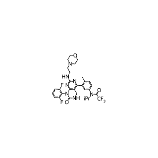 Cc1ccc(N(C(=O)C(F)(F)F)C(C)C)cc1-c1nc(NCCN2CCOCC2)nc2c1CNC(=O)N2c1c(F)cccc1F